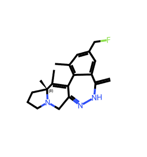 C=C1NN=C2CN3CCC[C@]3(C)C(C)=C2c2c(C)cc(CF)cc21